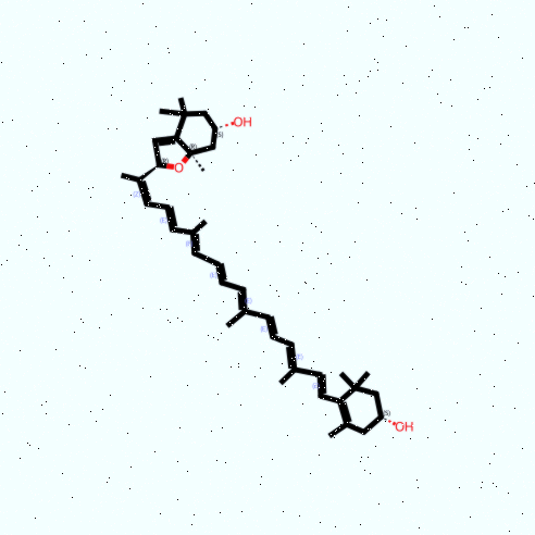 CC1=C(/C=C/C(C)=C/C=C/C(C)=C/C=C/C=C(C)/C=C/C=C(/C)[C@H]2C=C3C(C)(C)C[C@H](O)C[C@@]3(C)O2)C(C)(C)C[C@H](O)C1